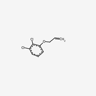 C=CCOc1c[c]cc(Cl)c1Cl